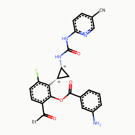 CCC(=O)c1ccc(F)c([C@H]2C[C@H]2NC(=O)Nc2ccc(C#N)cn2)c1OC(=O)c1cccc(N)c1